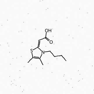 CCCCN1C(=CC(=O)O)SC(C)=C1C